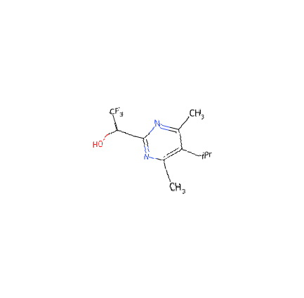 Cc1nc(C(O)C(F)(F)F)nc(C)c1C(C)C